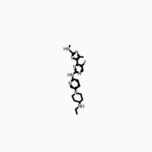 CCNC1CCN(c2ccc(Nc3ncc(F)c(-c4sc(NC)nc4C)n3)nc2)CC1